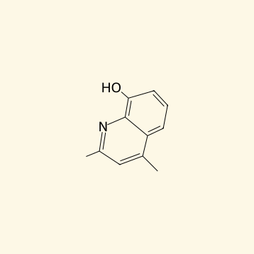 Cc1cc(C)c2cccc(O)c2n1